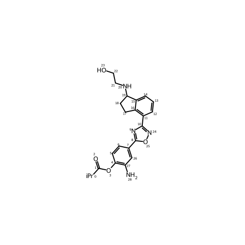 CC(C)C(=O)Oc1ccc(-c2nc(-c3cccc4c3CCC4NCCO)no2)cc1N